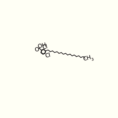 CCCCCCCCCCCCCCCCCCc1c(Cl)ccc(C(=O)O)c1Cl